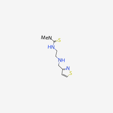 CNC(=S)NCCNCc1ccsn1